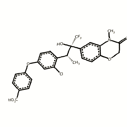 C[C@H](c1ccc(Oc2ccc(C(=O)O)cc2)cc1Cl)[C@@](O)(c1ccc2c(c1)N(C)C(=O)CO2)C(F)(F)F